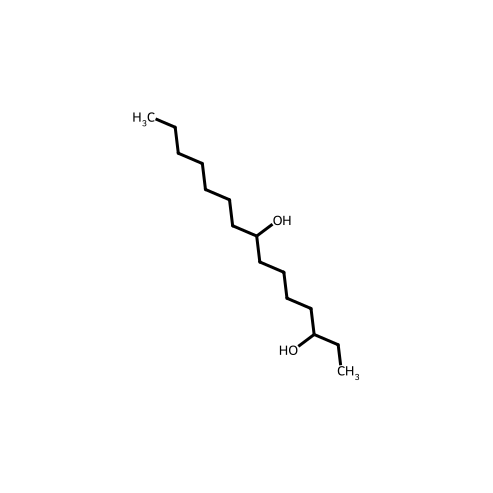 CCCCCCCC(O)CCCCC(O)CC